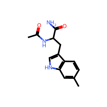 CC(=O)NC(Cc1c[nH]c2cc(C)ccc12)C(N)=O